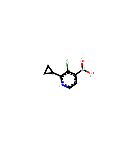 OB(O)c1ccnc(C2CC2)c1Cl